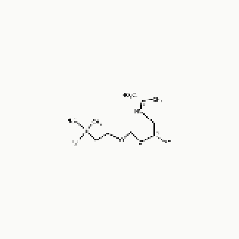 CC(C)[C@@H](CN[C@@H](C)C(=O)O)OCOCC[Si](C)(C)C